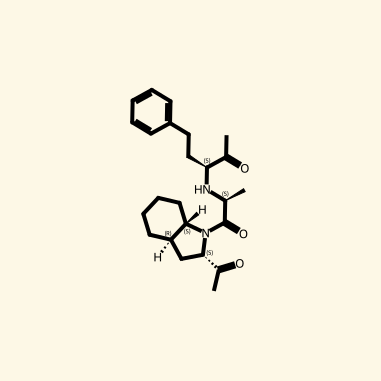 CC(=O)[C@H](CCc1ccccc1)N[C@@H](C)C(=O)N1[C@H](C(C)=O)C[C@H]2CCCC[C@@H]21